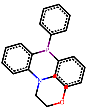 c1ccc(P(c2ccccc2)c2ccccc2N2CCOCC2)cc1